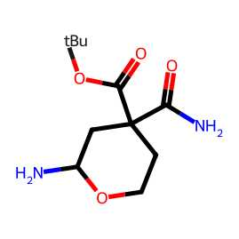 CC(C)(C)OC(=O)C1(C(N)=O)CCOC(N)C1